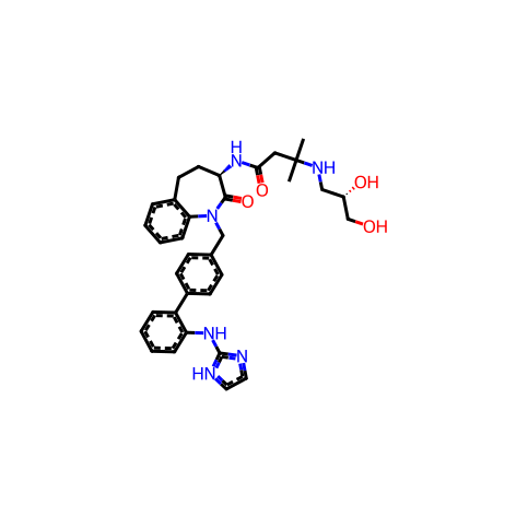 CC(C)(CC(=O)N[C@@H]1CCc2ccccc2N(Cc2ccc(-c3ccccc3Nc3ncc[nH]3)cc2)C1=O)NC[C@H](O)CO